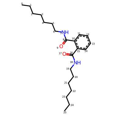 CCCCCCCNC(=O)c1ccccc1C(=O)NCCCCCCC